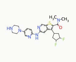 CN(C)C(=O)c1sc2cnc(Nc3ccc(N4CCNCC4)cn3)cc2c1C1CC(F)C(F)C1